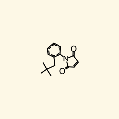 CC(C)(C)Cc1ccccc1N1C(=O)C=CC1=O